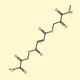 CNC(=O)C(=O)COC(=O)/C=C/C(=O)OCC(=O)C(N)=O